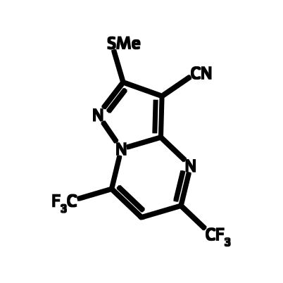 CSc1nn2c(C(F)(F)F)cc(C(F)(F)F)nc2c1C#N